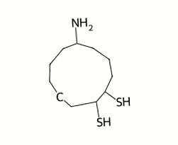 NC1CCCCCC(S)C(S)CCC1